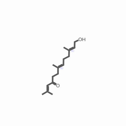 CC(C)=CC(=O)CC/C(C)=C/CC/C(C)=C/CO